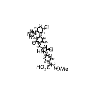 COCCN(C(=O)O)c1ccc(-c2[nH]c(Cn3c(C)cc(-c4cc(Cl)ccc4-n4cnnn4)cc3=O)nc2Cl)nc1